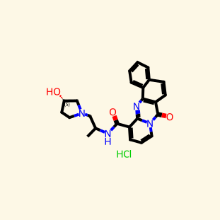 CC(CN1CC[C@H](O)C1)NC(=O)c1cccn2c(=O)c3ccc4ccccc4c3nc12.Cl